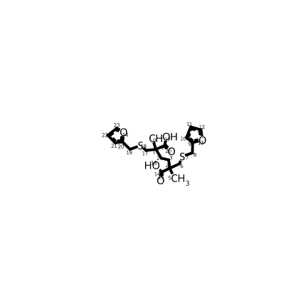 CC(CCC(C)(CSCc1ccco1)C(=O)O)(CSCc1ccco1)C(=O)O